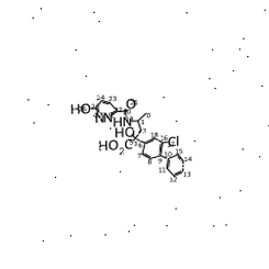 CC(CC(O)(C(=O)O)c1ccc(-c2ccccc2)c(Cl)c1)NC(=O)c1ccc(O)nn1